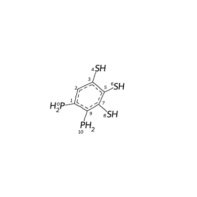 Pc1cc(S)c(S)c(S)c1P